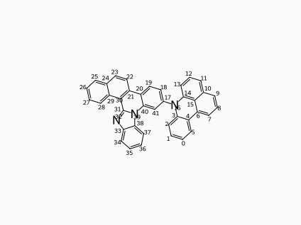 c1ccc2c(c1)-c1cccc3cccc(c13)N2c1ccc2c3ccc4ccccc4c3c3nc4ccccc4n3c2c1